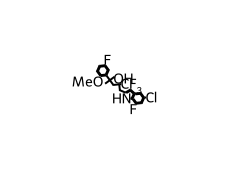 COc1ccc(F)cc1C(C)(C)CC(O)(Cc1cc2cc(Cl)cc(F)c2[nH]1)C(F)(F)F